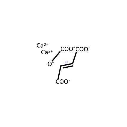 O=C([O-])/C=C/C(=O)[O-].O=C([O-])[O-].[Ca+2].[Ca+2]